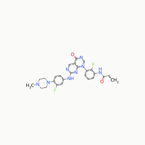 C=CC(=O)Nc1cccc(-n2cnc(=O)c3cnc(Nc4ccc(N5CCN(C)CC5)c(F)c4)nc32)c1F